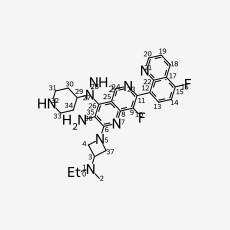 CCN(C)C1CN(c2nc3c(F)c(-c4ccc(F)c5cccnc45)ncc3c(N(N)C3CCNCC3)c2N)C1